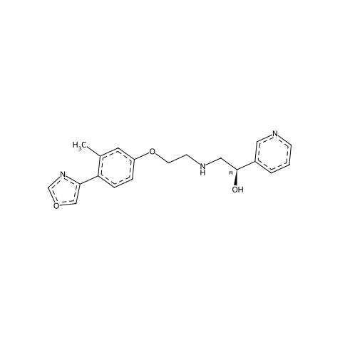 Cc1cc(OCCNC[C@H](O)c2cccnc2)ccc1-c1cocn1